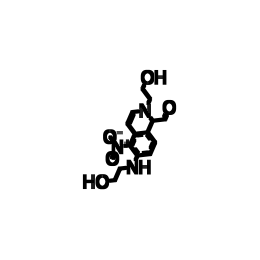 O=CC1c2ccc(NCCO)c([N+](=O)[O-])c2C=CN1CCO